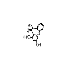 CCC1C(=O)c2c(O)cc(O)cc2Sc2ccccc21